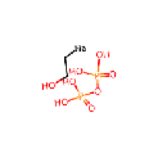 O=P(O)(O)OP(=O)(O)O.OC[CH2][Na]